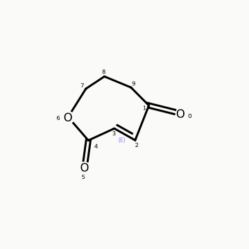 O=C1/C=C/C(=O)OCCC1